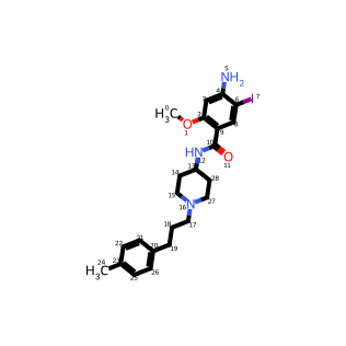 COc1cc(N)c(I)cc1C(=O)NC1CCN(CCCc2ccc(C)cc2)CC1